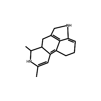 CC1=CC2=C3CCC=C4NCC(=C43)CC2C(C)N1